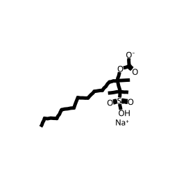 CCCCCCCCCCC(C)(OC(=O)[O-])C(C)(C)S(=O)(=O)O.[Na+]